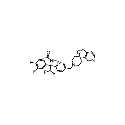 CC(=O)NC(c1ccc(F)c(F)c1)(c1ccc(CN2CCC3(CC2)OCc2ccncc23)cn1)C(F)F